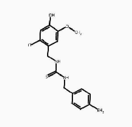 Bc1ccc(CNC(=S)NCc2cc(OC)c(O)cc2Cl)cc1